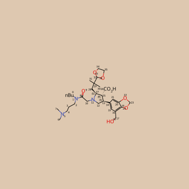 CCCCN(CCCN(C)C)C(=O)CN1C[C@H](c2cc(CO)c3c(c2)OCO3)[C@@H](C(=O)O)[C@@H]1CC(C)(C)C1OCCO1